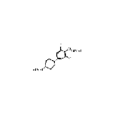 CCCCCOc1c(F)cc([C@H]2CC[C@H](CCCCC)CC2)cc1F